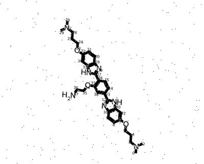 CN(C)CCCOc1ccc2nc(-c3ccc(-c4nc5ccc(OCCCN(C)C)cc5[nH]4)c(OCCN)c3)[nH]c2c1